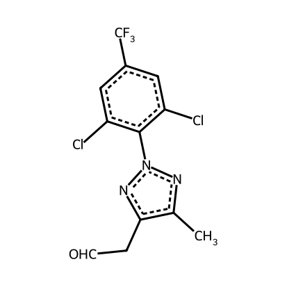 Cc1nn(-c2c(Cl)cc(C(F)(F)F)cc2Cl)nc1CC=O